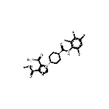 CNC(=O)c1ncn([C@H]2CC[C@H](C(=O)Nc3c(Br)cc(F)c(F)c3F)CC2)c1C(N)=O